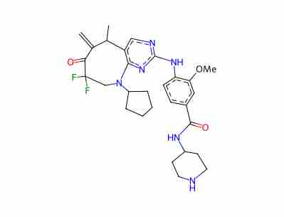 C=C1C(=O)C(F)(F)CN(C2CCCC2)c2nc(Nc3ccc(C(=O)NC4CCNCC4)cc3OC)ncc2C1C